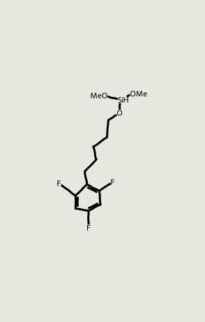 CO[SiH](OC)OCCCCCc1c(F)cc(F)cc1F